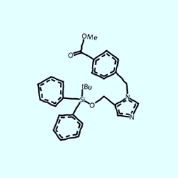 COC(=O)c1ccc(Cn2cncc2CO[Si](c2ccccc2)(c2ccccc2)C(C)(C)C)cc1